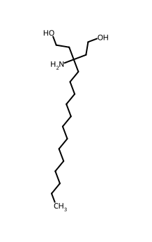 CCCCCCCCCCCCCC(N)(CCO)CCO